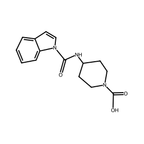 O=C(O)N1CCC(NC(=O)n2ccc3ccccc32)CC1